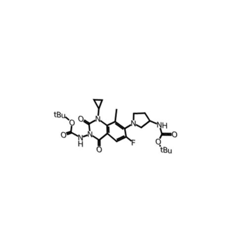 Cc1c(N2CCC(NC(=O)OC(C)(C)C)C2)c(F)cc2c(=O)n(NC(=O)OC(C)(C)C)c(=O)n(C3CC3)c12